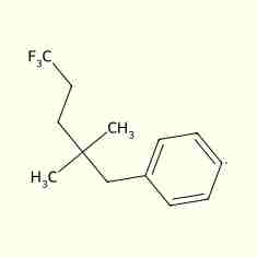 CC(C)(CCC(F)(F)F)Cc1cc[c]cc1